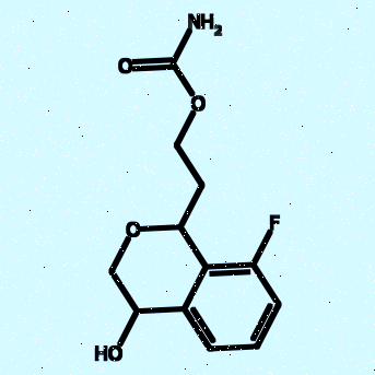 NC(=O)OCCC1OCC(O)c2cccc(F)c21